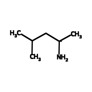 C[C](N)CC(C)C